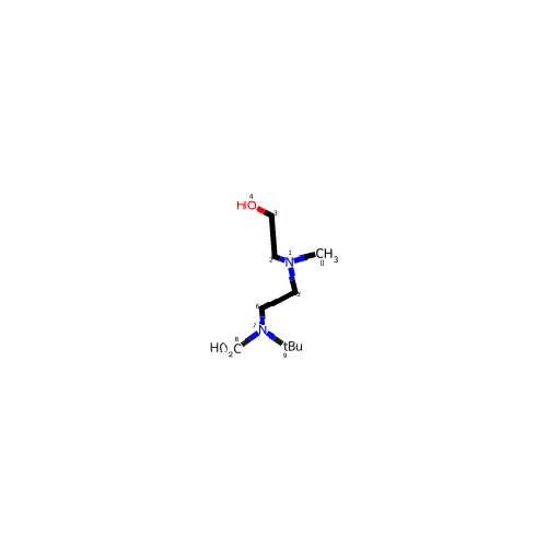 CN(CCO)CCN(C(=O)O)C(C)(C)C